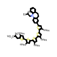 [C-]#[N+]/C(=C\c1sc(-c2sc(-c3sc(-c4sc(-c5sc(-c6ccc7c(c6)CCc6ccccc6N7CC(CC)CCCC)cc5CCCCCC)cc4CCCCCC)cc3CCCCCC)cc2CCCCCC)cc1CCCCCC)C(=O)O